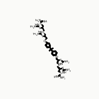 CC(C)(c1ccc(OCC(CSCC(CSC(=N)N)SC(=N)N)SC(=N)N)cc1)c1ccc(OCC(CSCC(CSC(=N)N)SC(=N)N)SC(=N)N)cc1